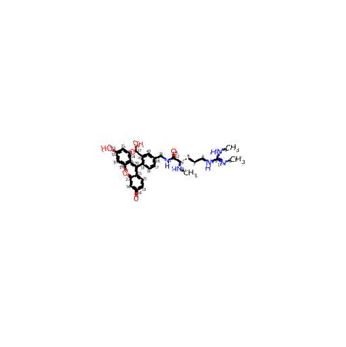 C/N=C(\NC)NCCC[C@H](NC)C(=O)NCc1ccc(-c2c3ccc(=O)cc-3oc3cc(O)ccc23)c(C(=O)O)c1